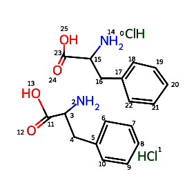 Cl.Cl.NC(Cc1ccccc1)C(=O)O.NC(Cc1ccccc1)C(=O)O